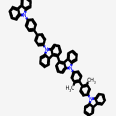 Cc1cc(-n2c3ccccc3c3ccccc32)ccc1-c1ccc(-n2c3ccccc3c3c(-c4cccc5c4c4ccccc4n5-c4ccc(-c5ccc(-n6c7ccccc7c7ccccc76)cc5)cc4)cccc32)cc1C